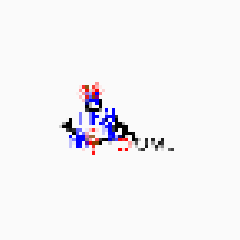 COCCc1cc2cnc(NC3CCN(S(C)(=O)=O)CC3)nc2n(CCCS(=O)(=O)n2cnc(C3CC3)n2)c1=O